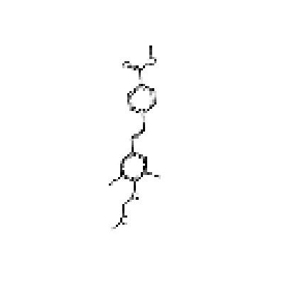 COCOc1c(C)cc(C=Cc2ccc(C(=O)OC)cc2)cc1C